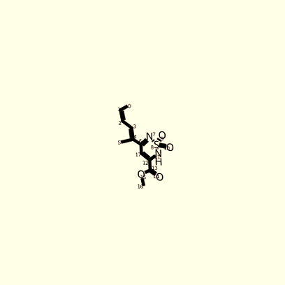 C/C=C\C=C(/C)C1=NS(=O)(=O)NC(C(=O)OC)=C1